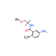 CC(C)(COC(C)(C)C)NC(=O)c1cc(N)ccc1[N+](=O)[O-]